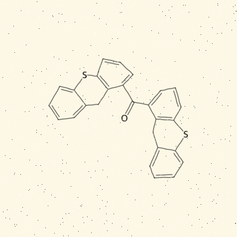 O=C(c1cccc2c1Cc1ccccc1S2)c1cccc2c1Cc1ccccc1S2